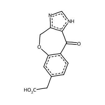 O=C(O)Cc1ccc2c(c1)OCc1nc[nH]c1C2=O